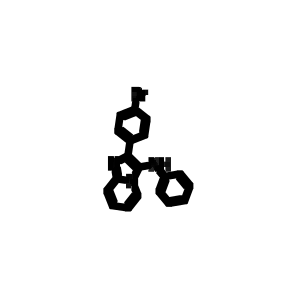 Brc1ccc(-c2nc3ccccn3c2Nc2ccccc2)cc1